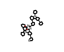 c1ccc(-c2ccc3c(c2)c2c(-c4cccc(-c5nc(-c6ccccc6)nc(-c6ccc(-c7cccnc7)cc6-n6c7ccccc7c7ccccc76)n5)c4)cccc2n3-c2ccccc2)cc1